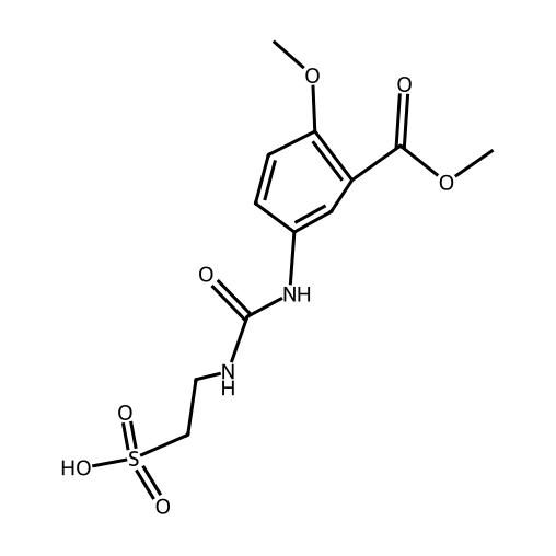 COC(=O)c1cc(NC(=O)NCCS(=O)(=O)O)ccc1OC